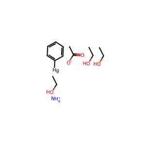 CC(=O)[O-].CCO.CCO.CCO.[Hg][c]1ccccc1.[NH4+]